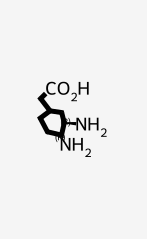 N[C@@H]1CCC(CC(=O)O)C[C@H]1N